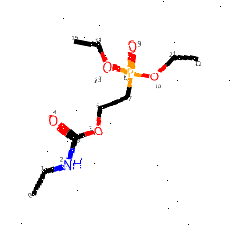 CCNC(=O)OCCP(=O)(OCC)OCC